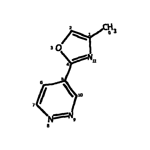 Cc1coc(-c2ccnnc2)n1